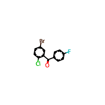 O=C(c1ccc(F)cc1)c1cc(Br)ccc1Cl